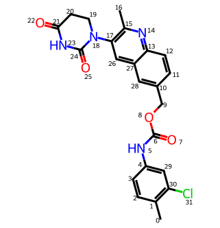 Cc1ccc(NC(=O)OCc2ccc3nc(C)c(N4CCC(=O)NC4=O)cc3c2)cc1Cl